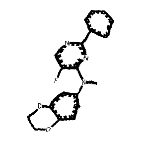 CN(c1ccc2c(c1)OCCO2)c1nc(-c2ccccc2)ncc1F